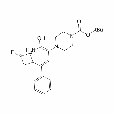 CC(C)(C)OC(=O)N1CCN(C(/C=C(/c2ccccc2)C2CP(F)C2)=C(/N)O)CC1